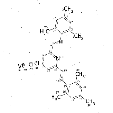 Cc1cc(C)c(N=Cc2cccc(C=Nc3c(C)cc(C)cc3C)n2)c(C)c1.[Cl-].[Cl-].[Cl-].[V+3]